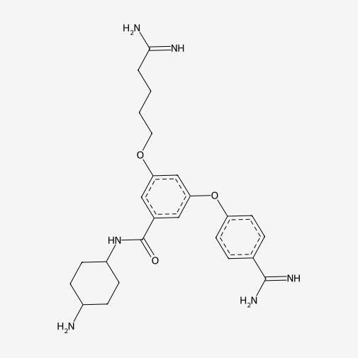 N=C(N)CCCCOc1cc(Oc2ccc(C(=N)N)cc2)cc(C(=O)NC2CCC(N)CC2)c1